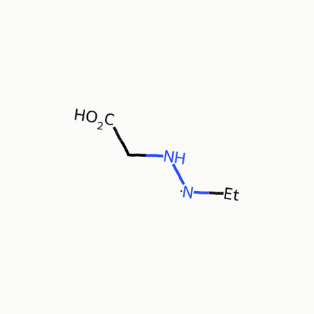 CC[N]NCC(=O)O